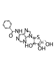 O=C(Nc1ncnc2c1ncn2[C@@H]1S[C@H](CO)[C@@H](O)[C@H]1O)c1ccccc1